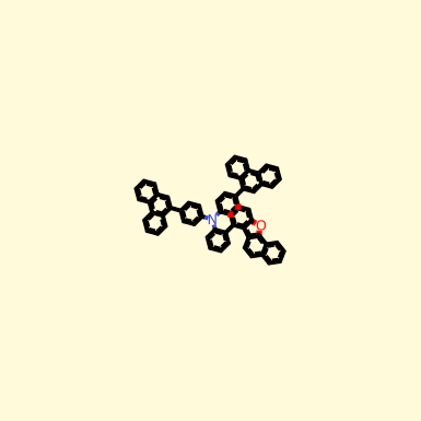 c1ccc(N(c2ccc(-c3cc4ccccc4c4ccccc34)cc2)c2ccc(-c3cc4ccccc4c4ccccc34)cc2)c(-c2cccc3oc4c5ccccc5ccc4c23)c1